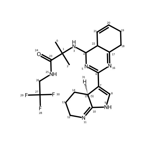 CC(C)(NC1N=C(C2=CNC3=NCCC[C@@H]23)N=C2CCC=CC21)C(=O)NCC(F)(F)F